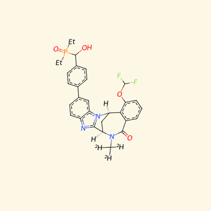 [2H]C([2H])([2H])N1C(=O)c2cccc(OC(F)F)c2[C@H]2C[C@@H]1c1nc3ccc(-c4ccc(C(O)P(=O)(CC)CC)cc4)cc3n12